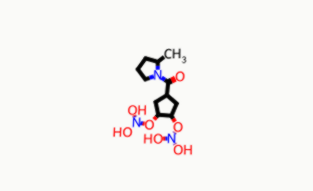 CC1CCCN1C(=O)C1CC(ON(O)O)C(ON(O)O)C1